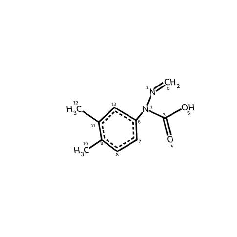 C=NN(C(=O)O)c1ccc(C)c(C)c1